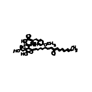 CCCCCCCC(=O)CCCCCC/C=C/[C@H](C(=O)N[C@@H](Cc1ccc(OC)cc1)C(=O)O)[C@@](O)(CC(=O)O)C(=O)O